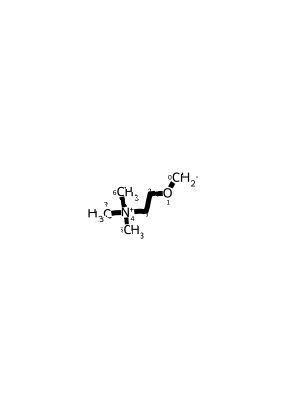 [CH2]OCC[N+](C)(C)C